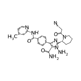 Cc1ccnc(NC(=O)c2ccc(-c3nc([C@@H]4CCCCN4C(=O)CC#N)n(N)c3C(N)=O)cc2)c1